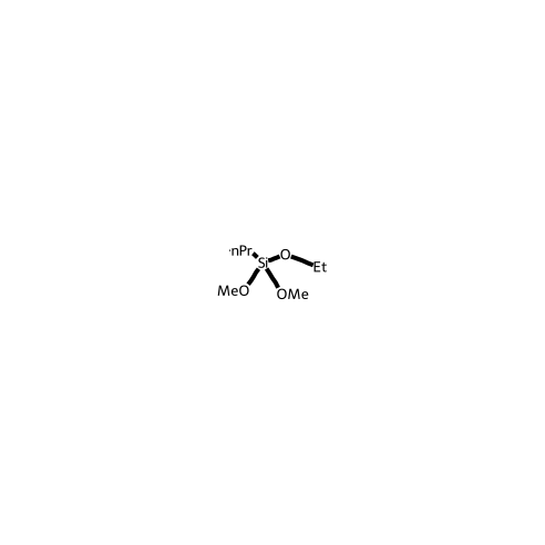 CC[CH][Si](OC)(OC)OCC